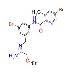 CCOC/C(N)=N\Cc1cc(Br)cc(NC(=O)c2ncc(Br)cc2C)c1